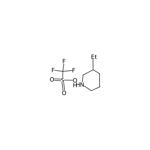 CCC1CCCNC1.O=S(=O)(O)C(F)(F)F